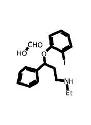 CCNCCC(Oc1ccccc1I)c1ccccc1.O=CO